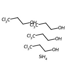 OCCC(Cl)(Cl)Cl.OCCC(Cl)(Cl)Cl.OCCC(Cl)(Cl)Cl.OCCC(Cl)(Cl)Cl.[SiH4]